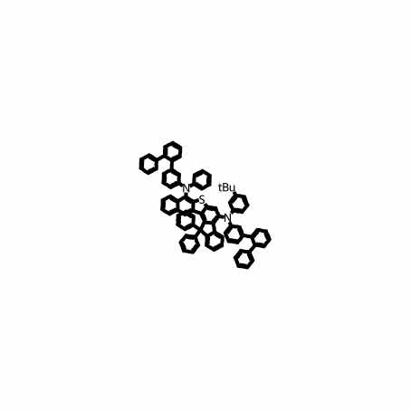 CC(C)(C)c1cccc(N(c2cccc(-c3ccccc3-c3ccccc3)c2)c2cc3sc4c(N(c5ccccc5)c5cccc(-c6ccccc6-c6ccccc6)c5)c5ccccc5cc4c3c3c2-c2ccccc2C3(c2ccccc2)c2ccccc2)c1